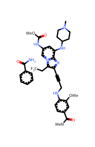 CNC(=O)c1ccc(NCC#Cc2nc3c(NC4CCN(C)CC4)cc(NC(=O)OC)cn3c2CC(F)(F)F)c(OC)c1.NC(=O)c1ccccc1